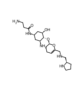 NCCC(=O)N[C@H]1C[C@@H](O)[C@H](O[C@@H]2CCC=C(CNC[C@H]3CCCN3)O2)[C@@H](N)C1